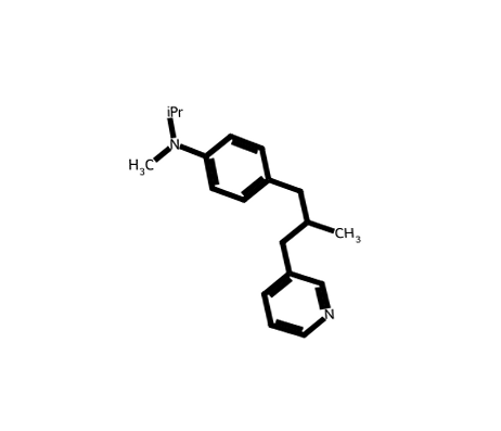 CC(Cc1ccc(N(C)C(C)C)cc1)Cc1cccnc1